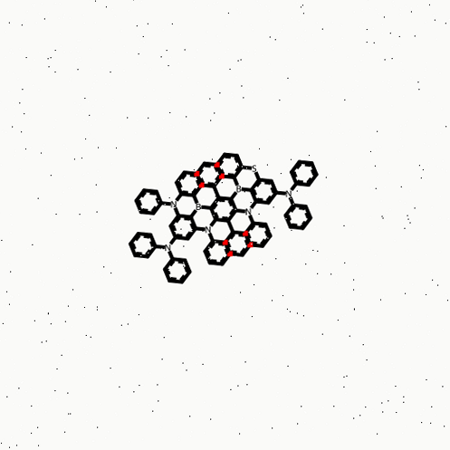 c1ccc(-c2c3c(c(-c4ccccc4)c4c2B2c5ccccc5N(c5ccccc5)c5cc(N(c6ccccc6)c6ccccc6)cc(c52)N4c2ccccc2)N(c2ccccc2)c2cc(N(c4ccccc4)c4ccccc4)cc4c2B3c2ccccc2S4)cc1